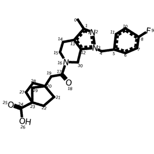 Cc1nn(Cc2ccc(F)cc2)c2c1CCN(C(=O)CC13CCC(C(=O)O)(CC1)C3)C2